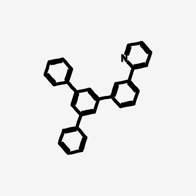 c1ccc(-c2cc(-c3ccccc3)cc(-c3cccc(-c4ccccn4)c3)c2)cc1